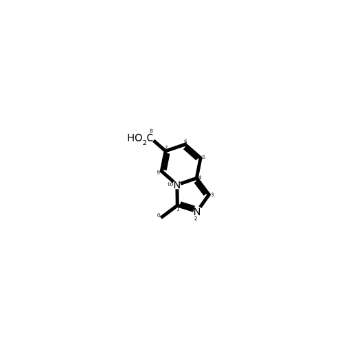 Cc1ncc2ccc(C(=O)O)cn12